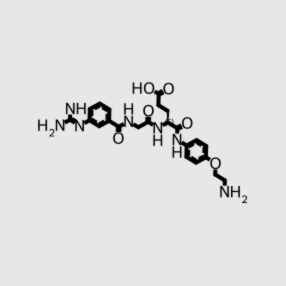 NCCOc1ccc(NC(=O)[C@H](CCC(=O)O)NC(=O)CNC(=O)c2cccc(N=C(N)N)c2)cc1